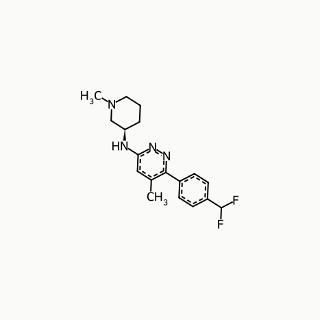 Cc1cc(N[C@@H]2CCCN(C)C2)nnc1-c1ccc(C(F)F)cc1